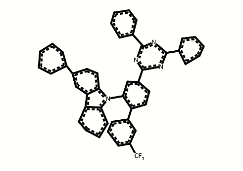 FC(F)(F)c1cccc(-c2ccc(-c3nc(-c4ccccc4)nc(-c4ccccc4)n3)cc2-n2c3ccccc3c3cc(-c4ccccc4)ccc32)c1